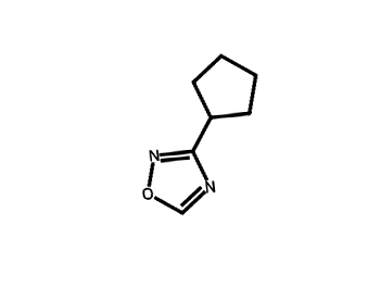 c1nc(C2CCCC2)no1